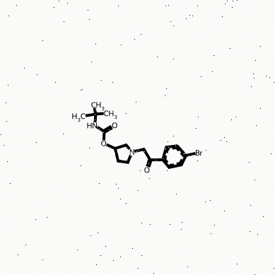 CC(C)(C)NC(=O)OC1CCN(CC(=O)c2ccc(Br)cc2)C1